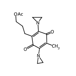 CC(=O)OCCCC1=C(N2CC2)C(=O)C(C)=C(N2CC2)C1=O